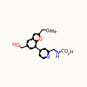 COCc1cc2cc(CO)cc(-c3ccnc(CNC(=O)O)c3)c2o1